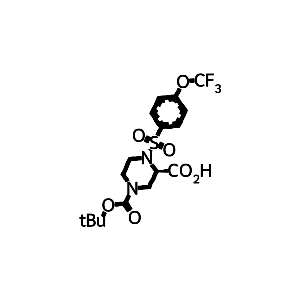 CC(C)(C)OC(=O)N1CCN(S(=O)(=O)c2ccc(OC(F)(F)F)cc2)[C@@H](C(=O)O)C1